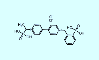 CC([n+]1ccc(-c2cc[n+](Cc3ccccc3P(=O)(O)O)cc2)cc1)P(=O)(O)O.[Cl-].[Cl-]